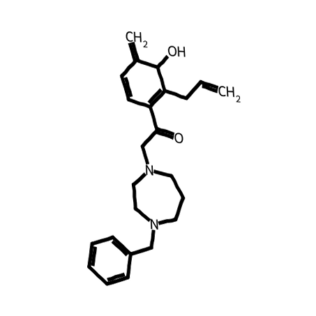 C=CCC1=C(C(=O)CN2CCCN(Cc3ccccc3)CC2)C=CC(=C)C1O